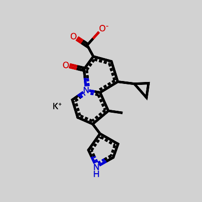 Cc1c(-c2cc[nH]c2)ccn2c(=O)c(C(=O)[O-])cc(C3CC3)c12.[K+]